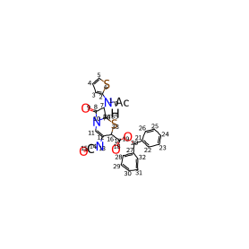 CC(=O)N(c1cccs1)C1C(=O)N2C=C(N=C=O)C(C(=O)OC(c3ccccc3)c3ccccc3)S[C@H]12